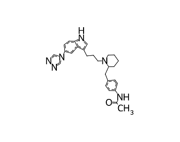 CC(=O)Nc1ccc(CC2CCCCN2CCCc2c[nH]c3ccc(-n4cnnc4)cc23)cc1